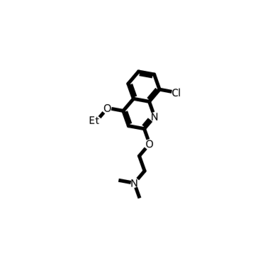 CCOc1cc(OCCN(C)C)nc2c(Cl)cccc12